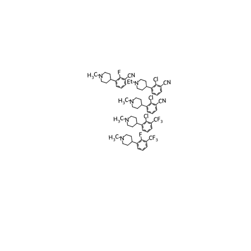 CCN1CCC(c2cccc(C#N)c2Cl)CC1.CN1CCC(c2cccc(C#N)c2Cl)CC1.CN1CCC(c2cccc(C#N)c2F)CC1.CN1CCC(c2cccc(C(F)(F)F)c2Cl)CC1.CN1CCC(c2cccc(C(F)(F)F)c2F)CC1